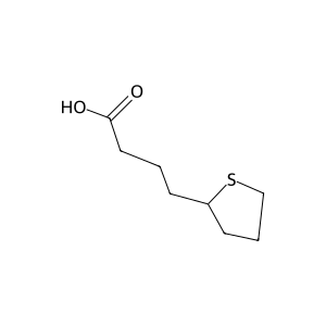 O=C(O)CCCC1CCCS1